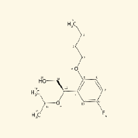 CCCCOc1ccc(F)cc1[C@H](CO)OC(C)C